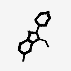 CCn1c(-c2ccncc2)nc2ccc(C)cc21